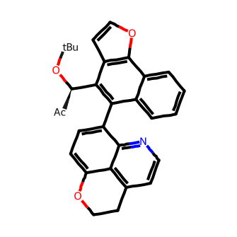 CC(=O)[C@@H](OC(C)(C)C)c1c(-c2ccc3c4c(ccnc24)CCO3)c2ccccc2c2occc12